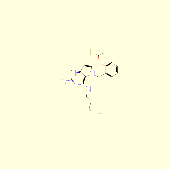 CCCCNc1nc(N)nc2ccn(Cc3ccccc3OC(F)F)c12